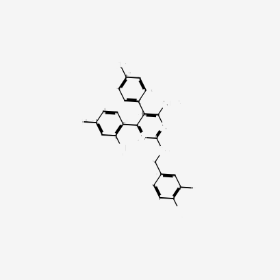 CC(=O)Nc1nc(OCc2ccc(F)c(F)c2)nc(-c2ccc(Cl)cc2Cl)c1-c1ccc(Cl)cc1